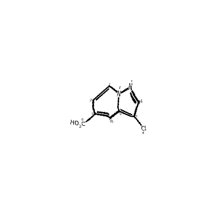 O=C(O)c1ccn2ncc(Cl)c2c1